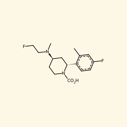 Cc1cc(F)ccc1[C@H]1C[C@H](N(C)CCF)CCN1C(=O)O